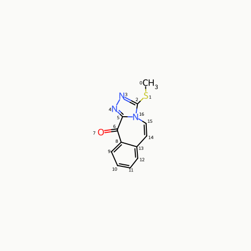 CSc1nnc2c(=O)c3ccccc3ccn12